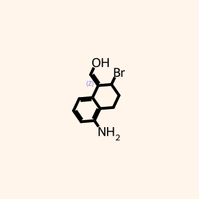 Nc1cccc2c1CCC(Br)/C2=C\O